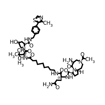 CC(=O)N1CC[C@H]2CC[C@@H](C(=O)N[C@@H](CCC(N)=O)C(=O)NCCCCCCCCC(=O)N[C@H](C(=O)N3C[C@H](O)C[C@H]3C(=O)NCc3ccc(-c4scnc4C)cc3)C(C)(C)C)N2C(=O)[C@@H](N)C1